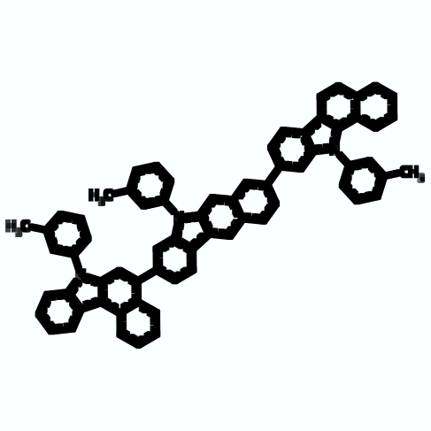 Cc1cccc(-n2c3cc(-c4cc5c(c6ccccc46)c4ccccc4n5-c4cccc(C)c4)ccc3c3cc4ccc(-c5ccc6c7ccc8ccccc8c7n(-c7cccc(C)c7)c6c5)cc4cc32)c1